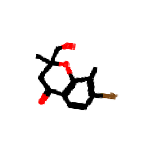 Cc1c(Br)ccc2c1OC(C)(CO)CC2=O